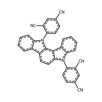 N#Cc1ccc(-n2c3ccccc3c3c2ccc2c4ccccc4n(-c4ccc(C#N)cc4C#N)c23)c(C#N)c1